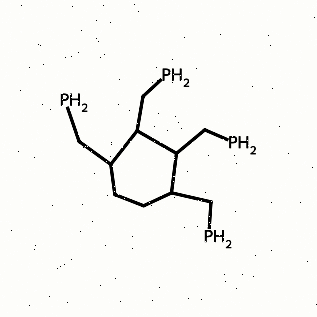 PCC1CCC(CP)C(CP)C1CP